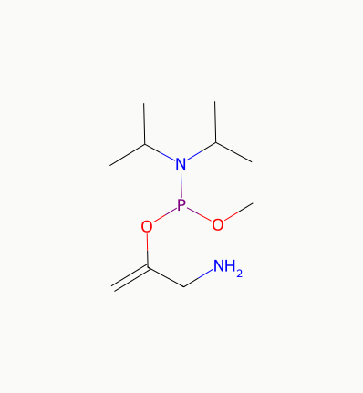 C=C(CN)OP(OC)N(C(C)C)C(C)C